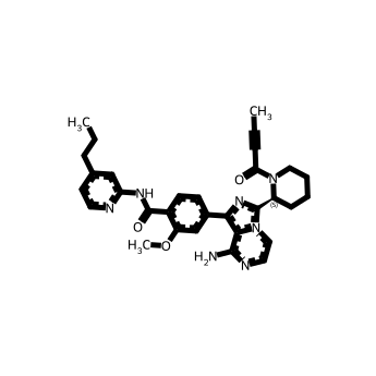 CC#CC(=O)N1CCCC[C@H]1c1nc(-c2ccc(C(=O)Nc3cc(CCC)ccn3)c(OC)c2)c2c(N)nccn12